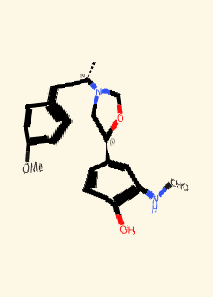 COc1ccc(C[C@H](C)N2CO[C@@H](c3ccc(O)c(NC=O)c3)C2)cc1